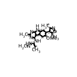 C=NN/C(=C\C)Nc1nc(C)nc2[nH]c3cc(-c4c(C)noc4C)c(OC)cc3c12